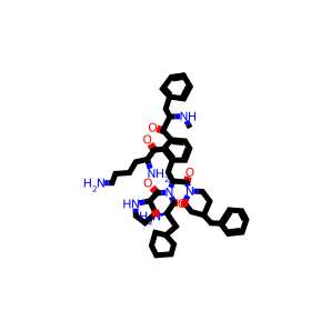 CNC(Cc1ccccc1)C(=O)c1cccc(CC(C(=O)N2CCC(Cc3ccccc3)CC2)N(C(=O)C2CCCN2)C(=O)[C@H](N)CC2CCCCC2)c1C(=O)C(N)CCCCN